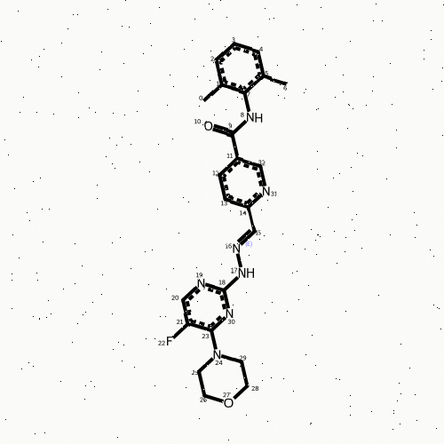 Cc1cccc(C)c1NC(=O)c1ccc(/C=N/Nc2ncc(F)c(N3CCOCC3)n2)nc1